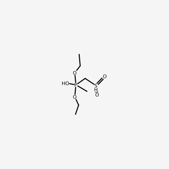 CCOP(C)(O)(C[SH](=O)=O)OCC